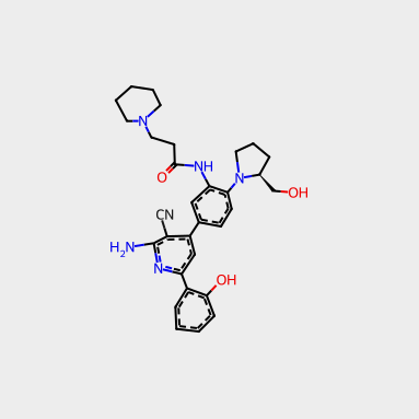 N#Cc1c(-c2ccc(N3CCC[C@H]3CO)c(NC(=O)CCN3CCCCC3)c2)cc(-c2ccccc2O)nc1N